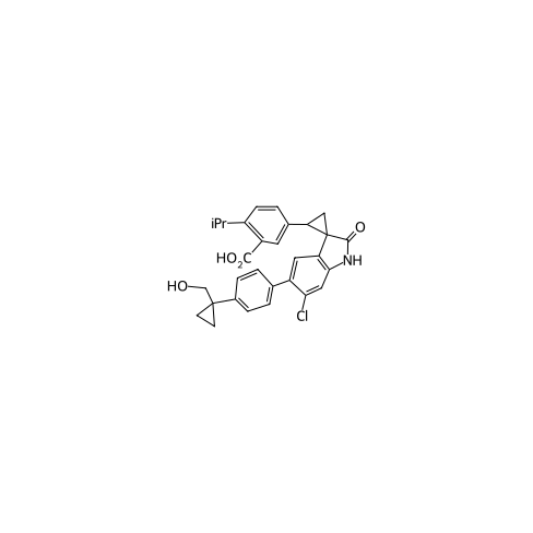 CC(C)c1ccc(C2CC23C(=O)Nc2cc(Cl)c(-c4ccc(C5(CO)CC5)cc4)cc23)cc1C(=O)O